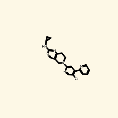 Clc1cnc(N2CCc3nc(NC4CC4)ncc3C2)cc1-c1ccccn1